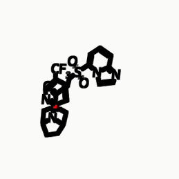 O=C(CCS(=O)(=O)c1cccc2nccn12)N1CC2CCC(C1)N2c1ccc(C(F)(F)F)cn1